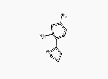 Nc1ccc(-c2ccc[nH]2)c(N)c1